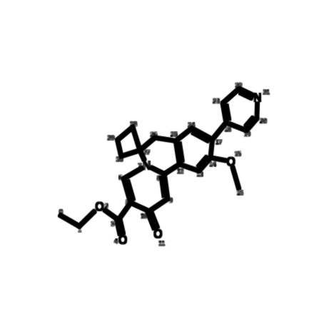 CCOC(=O)c1cn2c(cc1=O)-c1cc(OC)c(-c3ccncc3)cc1CC21CCC1